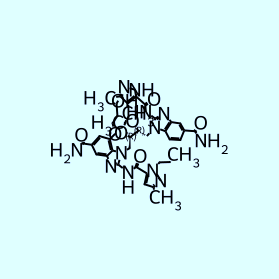 CCCn1nc(C)cc1C(=O)Nc1nc2cc(C(N)=O)cc(OCCCO)c2n1C[C@H]1OC(C)(C)O[C@@H]1Cn1c(NC(=O)c2cc(C)n[nH]2)nc2cc(C(N)=O)ccc21